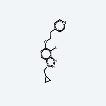 Brc1c(OCCc2ccncc2)ccc2c1nnn2CC1CC1